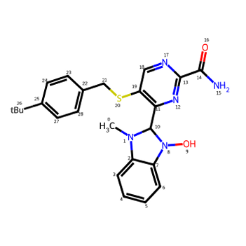 CN1c2ccccc2N(O)C1c1nc(C(N)=O)ncc1SCc1ccc(C(C)(C)C)cc1